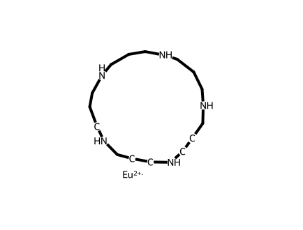 C1CNCCCNCCCNCCCNCCCNC1.[Eu+2]